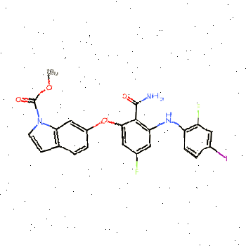 CC(C)(C)OC(=O)n1ccc2ccc(Oc3cc(F)cc(Nc4ccc(I)cc4F)c3C(N)=O)cc21